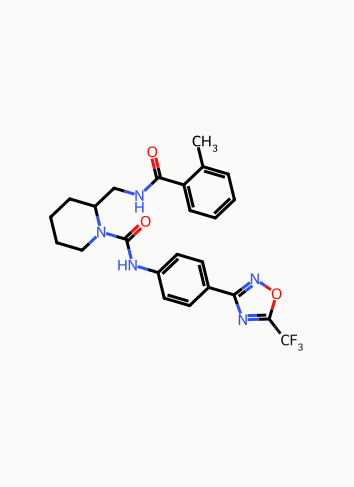 Cc1ccccc1C(=O)NCC1CCCCN1C(=O)Nc1ccc(-c2noc(C(F)(F)F)n2)cc1